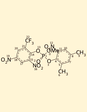 COP(=O)(Oc1c(C)cc(C)cc1[N+](=O)[O-])Oc1c([N+](=O)[O-])cc([N+](=O)[O-])cc1C(F)(F)F